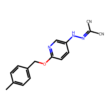 Cc1ccc(COc2ccc(NN=C(C#N)C#N)cn2)cc1